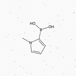 Cn1cccc1B(O)O